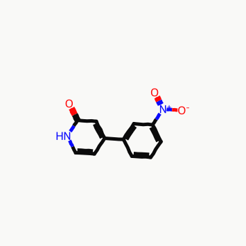 O=c1cc(-c2cccc([N+](=O)[O-])c2)cc[nH]1